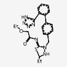 CCOCC(=O)N=C1SC(CC)NN1Cc1ccc(-c2ccccc2-c2nnn[nH]2)cc1